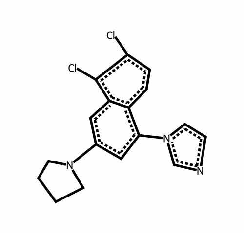 Clc1ccc2c(-n3ccnc3)cc(N3CCCC3)cc2c1Cl